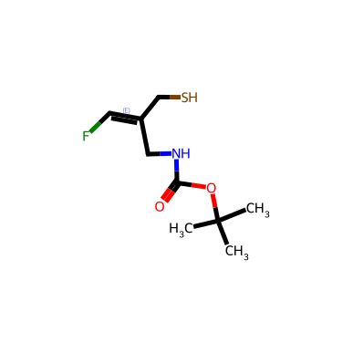 CC(C)(C)OC(=O)NC/C(=C\F)CS